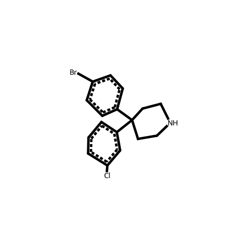 Clc1cccc(C2(c3ccc(Br)cc3)CCNCC2)c1